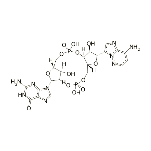 Nc1nc2c(ncn2[C@@H]2O[C@@H]3COP(=O)(O)O[C@H]4[C@@H](O)[C@H](c5cnc6c(N)ccnn56)O[C@@H]4COP(=O)(O)O[C@@H]2[C@@H]3O)c(=O)[nH]1